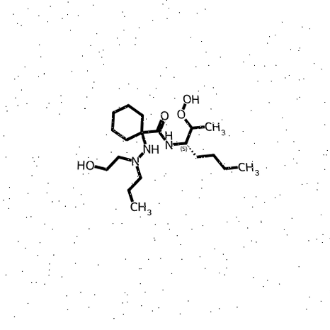 CCCC[C@H](NC(=O)C1(NN(CCC)CCO)CCCCC1)C(C)OO